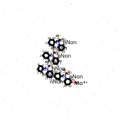 CCCCCCCCCc1ccccc1N(C(=S)[S-])c1ccccc1CCCCCCCCC.CCCCCCCCCc1ccccc1N(C(=S)[S-])c1ccccc1CCCCCCCCC.CCCCCCCCCc1ccccc1N(C(=S)[S-])c1ccccc1CCCCCCCCC.CCCCCCCCCc1ccccc1N(C(=S)[S-])c1ccccc1CCCCCCCCC.[O]=[Mo+4]